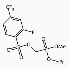 COP(=O)(COS(=O)(=O)c1ccc(C(F)(F)F)cc1F)OC(C)C